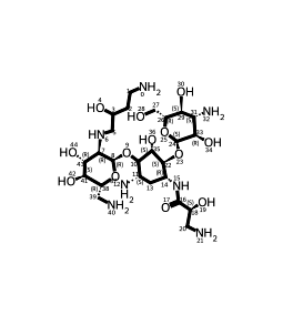 NCCC(O)CN[C@H]1[C@@H](OC2[C@@H](N)C[C@@H](NC(=O)[C@@H](O)CN)[C@H](O[C@H]3O[C@H](CO)[C@@H](O)[C@H](N)[C@H]3O)[C@H]2O)O[C@H](CN)[C@@H](O)[C@@H]1O